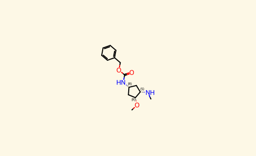 CN[C@H]1C[C@@H](NC(=O)OCc2ccccc2)C[C@H]1OC